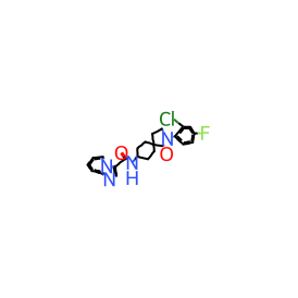 O=C(NC1CCC2(CC1)CCN(c1ccc(F)cc1Cl)C2=O)c1cnc2ccccn12